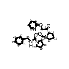 O=C(COc1ccccn1)[C@@H]1CCCN1C(=O)[C@@H]1CCCN1C(=O)NCc1ccccc1